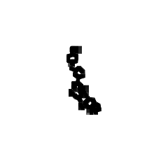 N#Cc1cnc2sc(-c3cccc(CN4CCC(O)CC4)c3)cc2c1Nc1ccc2[nH]ccc2c1